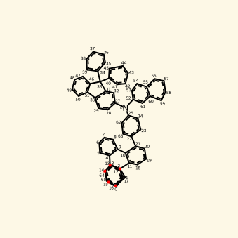 c1ccc(-c2ccccc2-c2c(-c3ccccc3)cccc2-c2ccc(N(c3ccc4c(c3)C(c3ccccc3)(c3ccccc3)c3ccccc3-4)c3ccc4ccccc4c3)cc2)cc1